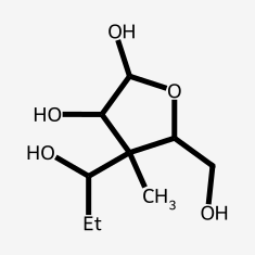 CCC(O)C1(C)C(CO)OC(O)C1O